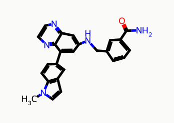 Cn1ccc2cc(-c3cc(NCc4cccc(C(N)=O)c4)cc4nccnc34)ccc21